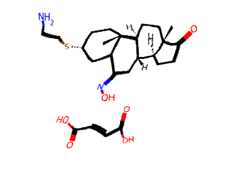 C[C@]12CC[C@@H](SCCN)CC1/C(=N/O)C[C@@H]1[C@@H]2CC[C@]2(C)C(=O)CC[C@@H]12.O=C(O)/C=C/C(=O)O